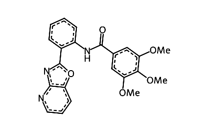 COc1cc(C(=O)Nc2ccccc2-c2nc3ncccc3o2)cc(OC)c1OC